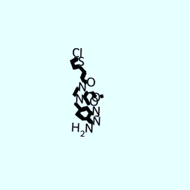 COC[C@H]1C(C=O)N(Cc2ccc3c(N)ncnc3c2)CCN1C(=O)C=Cc1ccc(Cl)s1